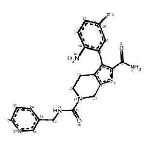 NC(=O)c1sc2c(c1-c1cc(F)ccc1N)CCN(C(=O)NCc1cccnc1)C2